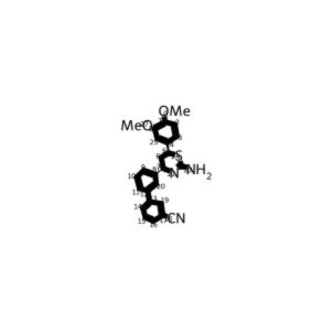 COc1ccc([C@@H]2C[C@@H](c3cccc(-c4cccc(C#N)c4)c3)N=C(N)S2)cc1OC